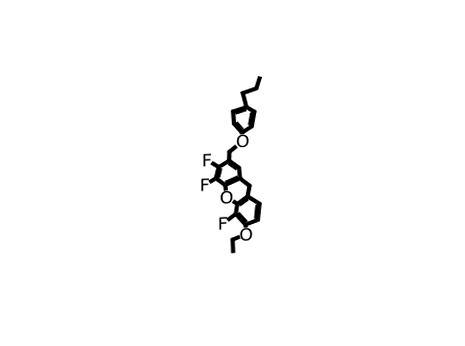 CCCc1ccc(OCc2cc3c(c(F)c2F)Oc2c(ccc(OCC)c2F)C3)cc1